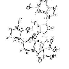 Nc1nc(Cl)nc2c1ncn2[C@@H]1O[C@H](COC(Cc2ccc(-c3cccc(F)c3O)cc2)(C(=O)O)C(=O)O)[C@@H](O)[C@@H]1F